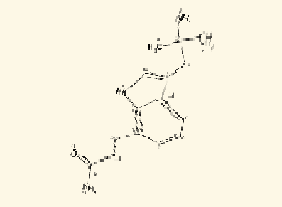 CC(C)(N)Cc1c[nH]c2c(CCC(N)=O)cccc12